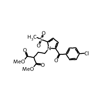 COC(=O)C(CCn1c(C(=O)c2ccc(Cl)cc2)ccc1S(C)(=O)=O)C(=O)OC